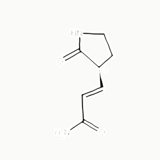 NC(=O)C=C[C@@H]1CCNC1=O